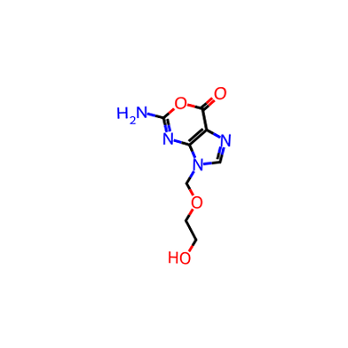 Nc1nc2c(ncn2COCCO)c(=O)o1